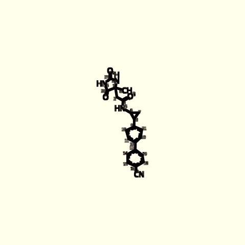 CC1(CC(=O)NC2CC2c2ccc(-c3ccc(C#N)cc3)cc2)NC(=O)NC1=O